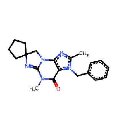 Cc1nc2c(n1Cc1ccccc1)C(=O)N(C)C1=NC3(CCCC3)CN12